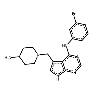 NC1CCN(Cc2c[nH]c3ncnc(Nc4cccc(Br)c4)c23)CC1